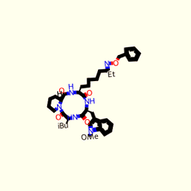 CC/C(CCCCC[C@@H]1NC(=O)[C@H]2CCCCN2C(=O)[C@H](C(C)CC)NC(=O)[C@H](Cc2cn(OC)c3ccccc23)NC1=O)=N\OCc1ccccc1